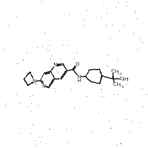 CC(C)(O)C1CCC(NC(=O)c2cnc3cc(N4CCC4)ncc3c2)CC1